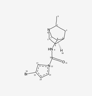 CC1CC2CCN1C[C@@H]2NC(=O)n1ccc(Br)c1